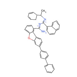 CC(/N=C(\N=C(/N)c1cccc2oc3cc(-c4ccc(-c5ccccc5)cc4)ccc3c12)c1cccc2ccccc12)C1C=CC=CC1